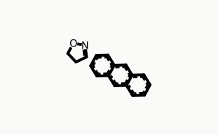 C1=NOCC1.c1ccc2cc3ccccc3cc2c1